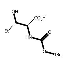 CC[C@H](O)[C@@H](NC(=O)OC(C)(C)C)C(=O)O